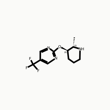 C[C@@H]1NCCC[C@H]1Oc1ncc(C(F)(F)F)cn1